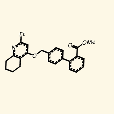 CCc1cc(OCc2ccc(-c3ccccc3C(=O)OC)cc2)c2c(n1)CCCC2